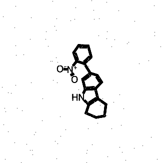 O=[N+]([O-])c1ccccc1-c1ccc2c3c([nH]c2c1)CCCC3